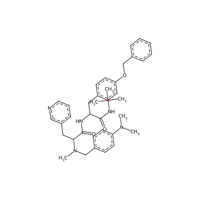 CN(C)c1ccc(CN(C)C(Cc2cccnc2)C(=O)NC(Cc2ccc(OCc3ccccc3)cc2)C(=O)NC(C)(C)C)cc1